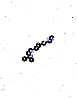 C/C=C(\C=C/Cc1ccc2ncccc2n1)c1ccc2cc(-c3ccc4ccc5c(-c6ccccc6)c6ccccc6nc5c4n3)ccc2c1